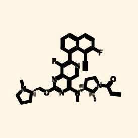 C#Cc1c(F)ccc2cccc(-c3ncc4c(N(C)[C@@H]5CCN(C(=O)C=C)[C@@H]5C)nc(OC[C@@H]5CCCN5C)nc4c3F)c12